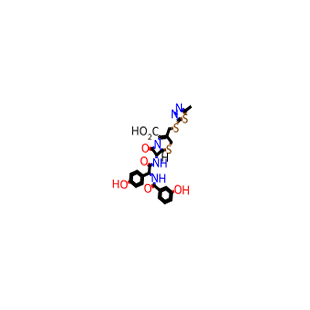 Cc1nnc(SCC2=C(C(=O)O)N3C(=O)C(NC(=O)C(NC(=O)c4cccc(O)c4)c4ccc(O)cc4)[C@H]3SC2)s1